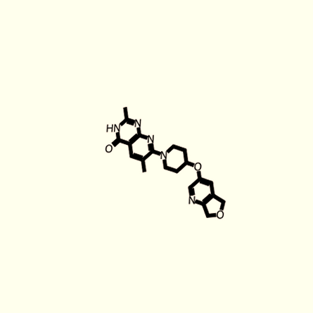 Cc1nc2nc(N3CCC(Oc4cnc5c(c4)COC5)CC3)c(C)cc2c(=O)[nH]1